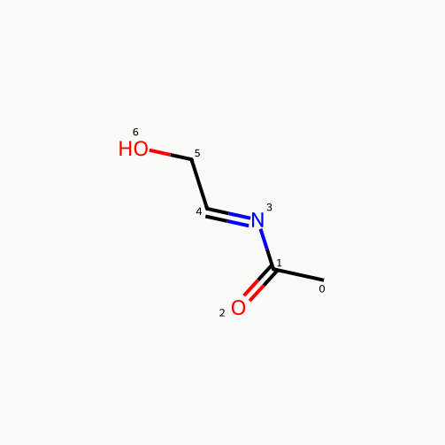 CC(=O)N=CCO